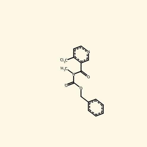 CN(C(=O)OCc1ccccc1)C(=O)c1cnccc1C(Cl)(Cl)Cl